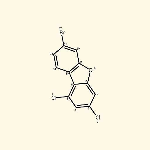 Clc1cc(Cl)c2c(c1)oc1cc(Br)ccc12